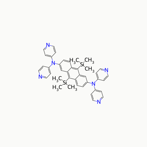 C[Si](C)(C)c1c2ccc(N(c3ccncc3)c3ccncc3)cc2c([Si](C)(C)C)c2ccc(N(c3ccncc3)c3ccncc3)cc12